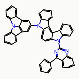 c1ccc(-c2nc(-n3c4ccccc4c4c5c6ccccc6n(-c6cc7c8ccccc8n8c9ccccc9c(c6)c78)c5ccc43)nc3ccccc23)cc1